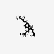 CC/C=C\CCc1nc2cc(/C=C/C(=O)NO)ccc2n1CCCNC(C)C